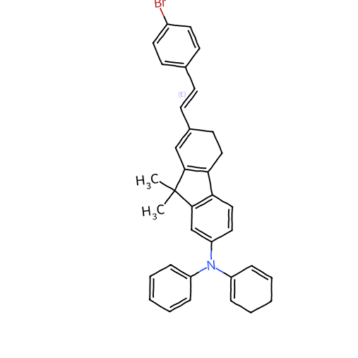 CC1(C)C2=C(CCC(/C=C/c3ccc(Br)cc3)=C2)c2ccc(N(C3=CCCC=C3)c3ccccc3)cc21